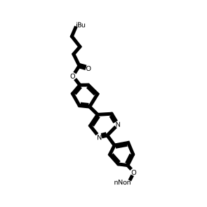 CCCCCCCCCOc1ccc(-c2ncc(-c3ccc(OC(=O)CCCC(C)CC)cc3)cn2)cc1